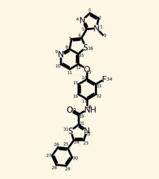 Cn1ccnc1-c1cc2nccc(Oc3ccc(NC(=O)c4ncc(-c5ccccc5)s4)cc3F)c2s1